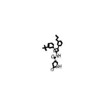 CCCc1cccc(-c2cc(NC(=O)[C@@H]3CNC(=O)C3)nn2-c2cccc(C(C)(C)C)c2)c1